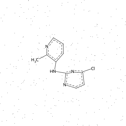 Cc1ncccc1Nc1nccc(Cl)n1